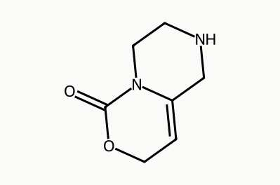 O=C1OCC=C2CNCCN12